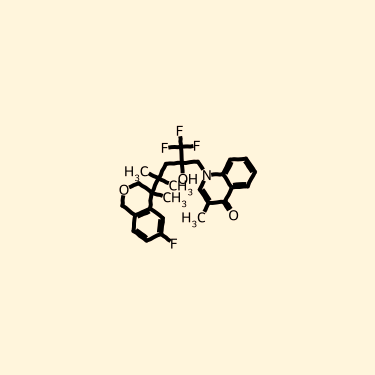 Cc1cn(CC(O)(CC(C)(C)C2(C)COCc3ccc(F)cc32)C(F)(F)F)c2ccccc2c1=O